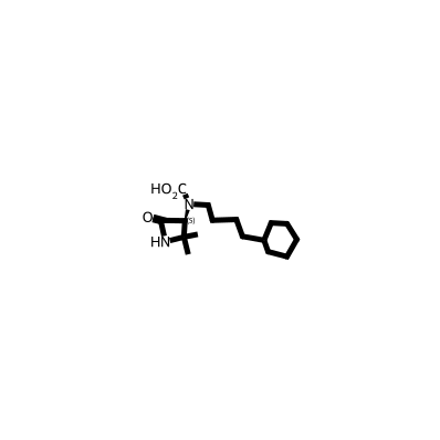 CC1(C)NC(=O)[C@H]1N(CCCCC1CCCCC1)C(=O)O